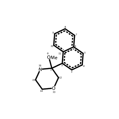 COC1(c2cccc3ccccc23)COCC[N]1